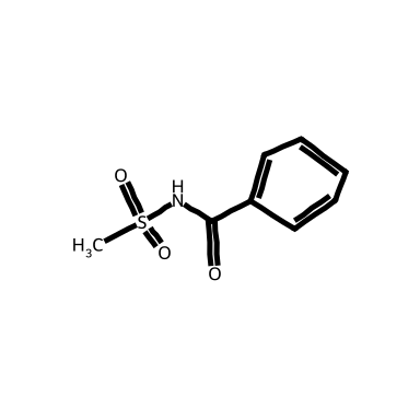 CS(=O)(=O)NC(=O)c1ccccc1